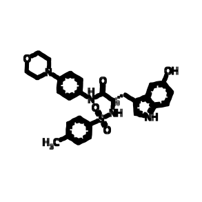 Cc1ccc(S(=O)(=O)N[C@@H](Cc2c[nH]c3ccc(O)cc23)C(=O)Nc2ccc(N3CCOCC3)cc2)cc1